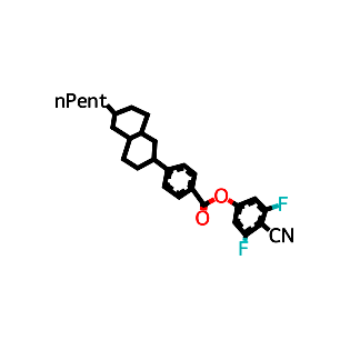 CCCCCC1CCC2CC(c3ccc(C(=O)Oc4cc(F)c(C#N)c(F)c4)cc3)CCC2C1